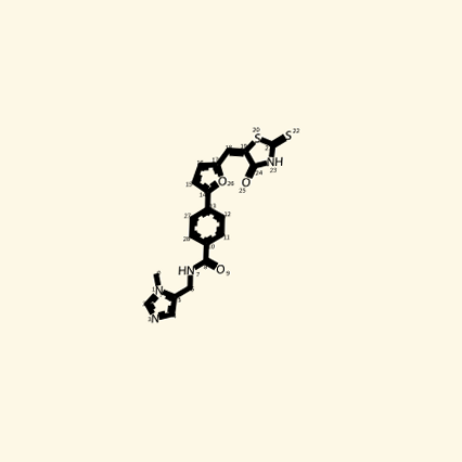 Cn1cncc1CNC(=O)c1ccc(-c2ccc(C=C3SC(=S)NC3=O)o2)cc1